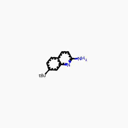 CC(C)(C)c1ccc2ccc(N)nc2c1